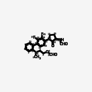 CN(CCOC=O)c1ccccc1-c1ccc(N2CCC(NC=O)C2=O)c(F)c1F